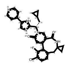 O=C1NC2(CC2)Cc2ccc(Cl)c(F)c2-c2cc(=O)n([C@@H](CC3CC3)c3ncc(-c4ccncc4)[nH]3)cc21